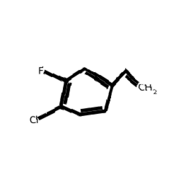 C=[C]c1ccc(Cl)c(F)c1